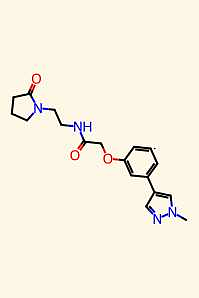 Cn1cc(-c2c[c]cc(OCC(=O)NCCN3CCCC3=O)c2)cn1